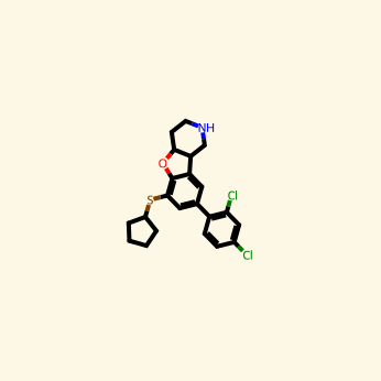 Clc1ccc(-c2cc(SC3CCCC3)c3c(c2)C2CNCCC2O3)c(Cl)c1